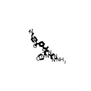 Cc1c(-c2cccc(C(=O)N3CCN(CCN(C)C)CC3)c2)sc2c(N3CCOCC3)nc(-c3cnc(N)nc3)nc12